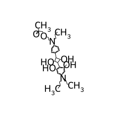 CCCN(CCC)c1cc(O)c(C2C(O)C(c3ccc(N(CCC)CCOCC(C)=O)cc3)C2O)c(O)c1